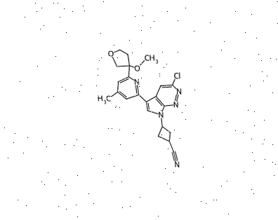 COC1(c2cc(C)cc(-c3cn(C4CC(C#N)C4)c4nnc(Cl)cc34)n2)CCOC1